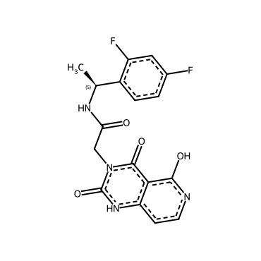 C[C@H](NC(=O)Cn1c(=O)[nH]c2ccnc(O)c2c1=O)c1ccc(F)cc1F